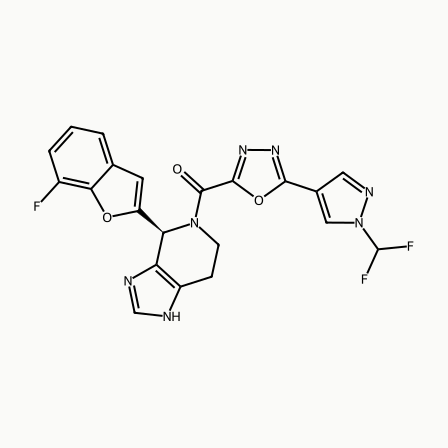 O=C(c1nnc(-c2cnn(C(F)F)c2)o1)N1CCc2[nH]cnc2[C@H]1c1cc2cccc(F)c2o1